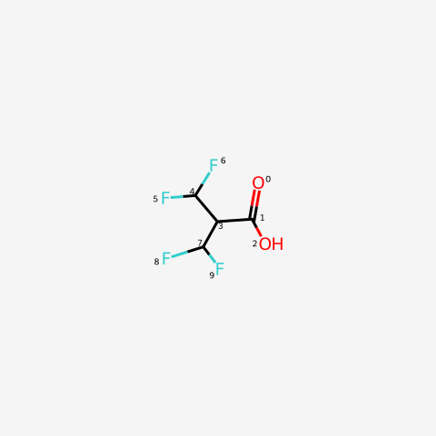 O=C(O)C(C(F)F)C(F)F